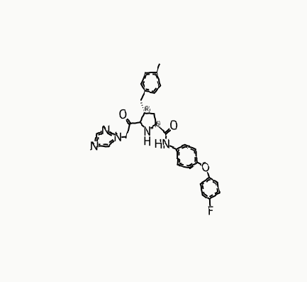 Cc1ccc(C[C@@H]2C[C@@H](C(=O)Nc3ccc(Oc4ccc(F)cc4)cc3)NC2C(=O)Cn2cncn2)cc1